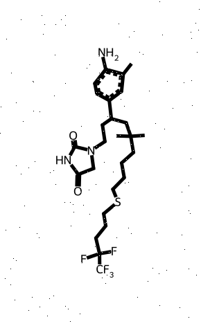 Cc1cc(C(CCN2CC(=O)NC2=O)CC(C)(C)CCCCSCCCC(F)(F)C(F)(F)F)ccc1N